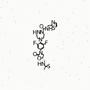 CC(=S)NC[C@H]1CN(c2cc(F)c(N3CCNN(C(=O)NCc4nccs4)CC3)c(F)c2)C(=O)O1